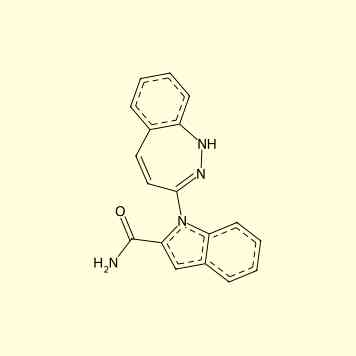 NC(=O)c1cc2ccccc2n1C1=NNc2ccccc2C=C1